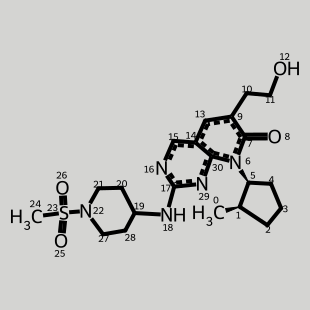 C[C@@H]1CCC[C@@H]1n1c(=O)c(CCO)cc2cnc(NC3CCN(S(C)(=O)=O)CC3)nc21